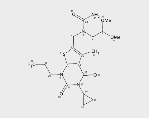 COC(CN(Cc1sc2c(c1C)c(=O)n(C1CC1)c(=O)n2CCC(F)(F)F)C(N)=O)OC